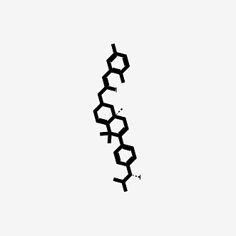 Cc1ccc(C)c(/C=C(\I)CC2CC=C3C(C)(C)C(c4ccc([C@H](I)C(C)C)cc4)=CC[C@]3(C)C2)c1